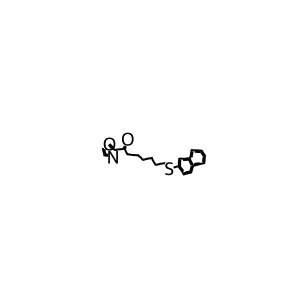 O=C(CCCCCCSc1ccc2ccccc2c1)c1ncco1